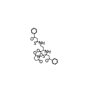 O=C(CC(=S)NCCC(NC(=S)CC(=O)c1ccccc1)C(=O)ON1C(=O)CCC1=O)c1ccccc1